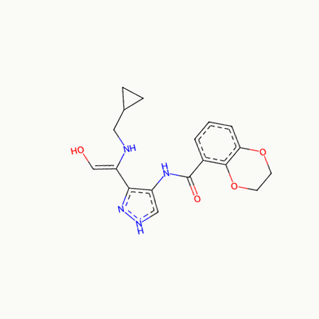 O=C(Nc1c[nH]nc1/C(=C/O)NCC1CC1)c1cccc2c1OCCO2